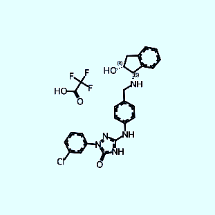 O=C(O)C(F)(F)F.O=c1[nH]c(Nc2ccc(CN[C@H]3c4ccccc4C[C@H]3O)cc2)nn1-c1cccc(Cl)c1